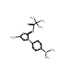 Cc1cn(-c2ccc(N(C)C)cc2)/c(=N/C(=O)C(C)(C)C)s1